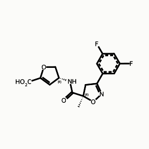 C[C@]1(C(=O)N[C@@H]2C=C(C(=O)O)OC2)CC(c2cc(F)cc(F)c2)=NO1